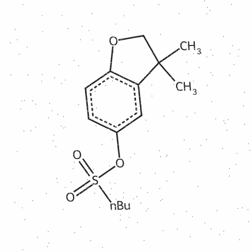 CCCCS(=O)(=O)Oc1ccc2c(c1)C(C)(C)CO2